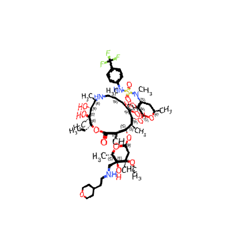 CC[C@H]1OC(=O)[C@H](C)[C@@H](O[C@H]2C[C@@](C)(OC)[C@](O)(CNCCC3CCOCC3)[C@H](C)O2)[C@H](C)[C@@H](O[C@@H]2O[C@H](C)C[C@H](N(C)S(=O)(=O)Nc3ccc(C(F)(F)F)cc3)[C@H]2O)[C@](C)(O)C[C@@H](C)CN[C@H](C)[C@@H](O)[C@]1(C)O